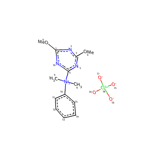 COc1nc(OC)nc([N+](C)(C)c2ccccc2)n1.[O-][Cl+3]([O-])([O-])[O-]